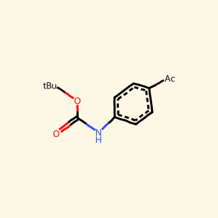 CC(=O)c1ccc(NC(=O)OC(C)(C)C)cc1